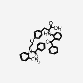 Cc1ccccc1N(CCOc1ccc(CC(Nc2ccccc2C(=O)c2ccccc2)C(=O)O)cc1)C(=O)c1ccccc1